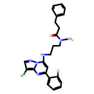 CN(CCCNc1cc(-c2ccccc2Cl)nc2c(Br)cnn12)C(=O)CCc1ccccc1